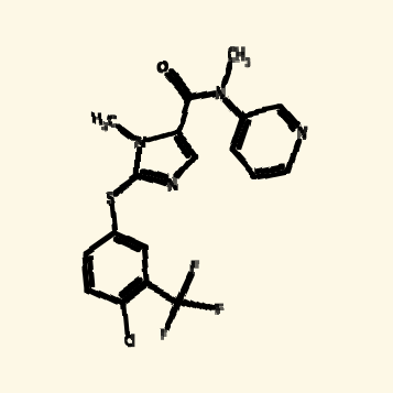 CN(C(=O)c1cnc(Sc2ccc(Cl)c(C(F)(F)F)c2)n1C)c1cccnc1